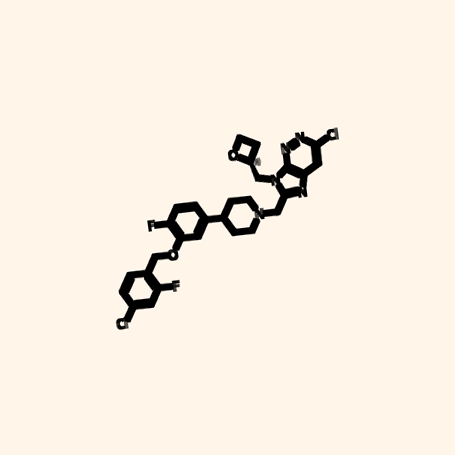 Fc1cc(Cl)ccc1COc1cc(C2CCN(Cc3nc4cc(Cl)nnc4n3C[C@@H]3CCO3)CC2)ccc1F